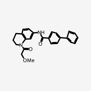 COCC(=O)N1CCCc2ccc(NC(=O)c3ccc(-c4ccccc4)cc3)cc21